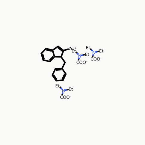 CCN(CC)C(=O)[O-].CCN(CC)C(=O)[O-].CCN(CC)C(=O)[O-].[Zr+3][C]1=Cc2ccccc2C1Cc1ccccc1